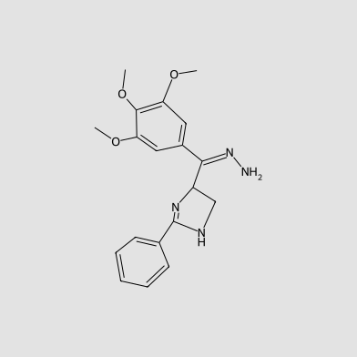 COc1cc(C(=NN)C2CNC(c3ccccc3)=N2)cc(OC)c1OC